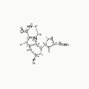 Cc1c2n(c3c(-c4ccc(C#N)s4)cc(F)cc13)CCNC2=O